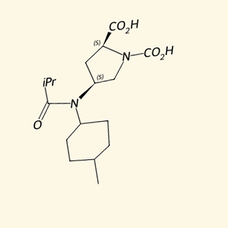 CC1CCC(N(C(=O)C(C)C)[C@H]2C[C@@H](C(=O)O)N(C(=O)O)C2)CC1